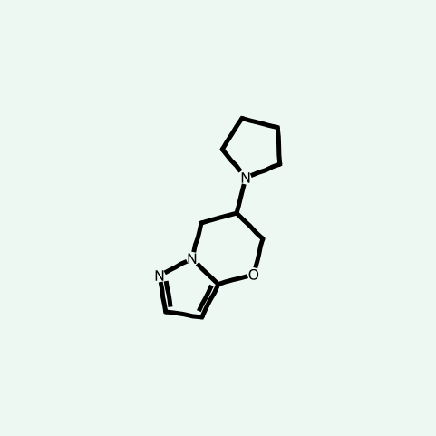 c1cc2n(n1)CC(N1CCCC1)CO2